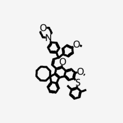 COc1ccc(C2(c3ccc(N4CCOCC4)cc3)C=Cc3c4c(c5cc(Sc6c(C)cccc6C)c(OC)cc5c3O2)-c2ccccc2C42CCCCCCC2)cc1